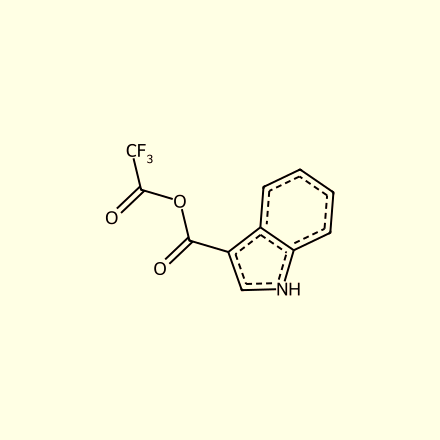 O=C(OC(=O)C(F)(F)F)c1c[nH]c2ccccc12